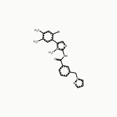 Cc1cc(Br)c(-c2cnc(NC(=O)c3cccc(Cn4cccn4)c3)n2C)cc1C